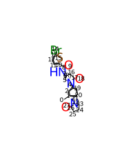 Cc1cc(N2C[C@H](NC(=O)c3ccc(Br)s3)CC2=O)ccc1N1CCCC1=O